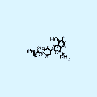 Cc1ccc2c(c1O)C[C@@H](C1CCN(OC(=O)N(C(C)C)C(C)C)CC1)O[C@H]2CN